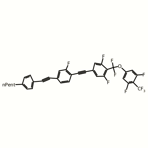 CCCCCc1ccc(C#Cc2ccc(C#Cc3cc(F)c(C(F)(F)Oc4cc(F)c(C(F)(F)F)c(F)c4)c(F)c3)c(F)c2)cc1